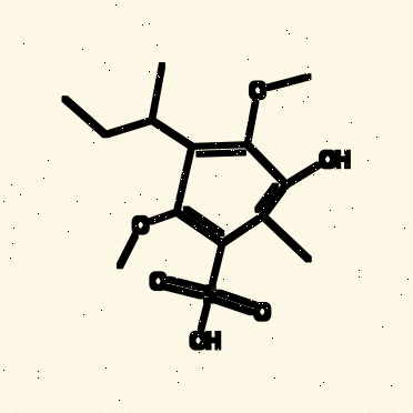 CCC(C)c1c(OC)c(O)c(C)c(S(=O)(=O)O)c1OC